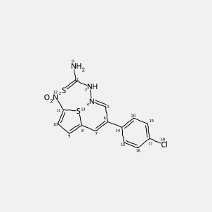 NC(=S)NN=CC(=Cc1ccc([N+](=O)[O-])s1)c1ccc(Cl)cc1